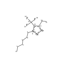 CCCCCCn1nnc(CC)c1C(F)(F)F